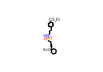 CCOC(=O)c1ccc(CCCNS(=O)(=O)CCC#CC2(OC(C)=O)CCCCC2)cc1